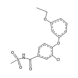 CCOc1cccc(Oc2ccc(C(=O)NS(C)(=O)=O)cc2Cl)c1